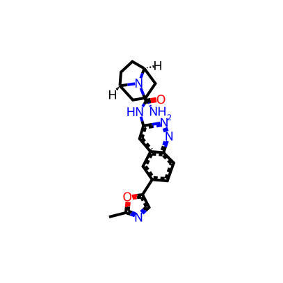 Cc1ncc(-c2ccc3nnc(NC(=O)N4[C@@H]5CC[C@H]4C[C@H](N)C5)cc3c2)o1